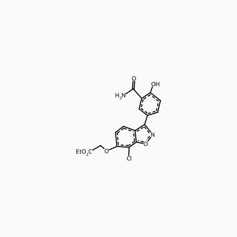 CCOC(=O)COc1ccc2c(-c3ccc(O)c(C(N)=O)c3)noc2c1Cl